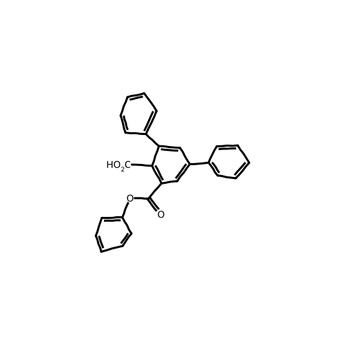 O=C(Oc1ccccc1)c1cc(-c2ccccc2)cc(-c2ccccc2)c1C(=O)O